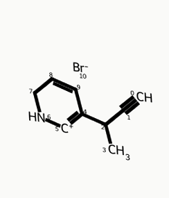 C#CC(C)C1=[C+]NCC=C1.[Br-]